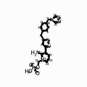 Nc1c(-c2cc(Cc3ccc(Cn4cnnc4)cc3)no2)ccc[n+]1COP(=O)([O-])O